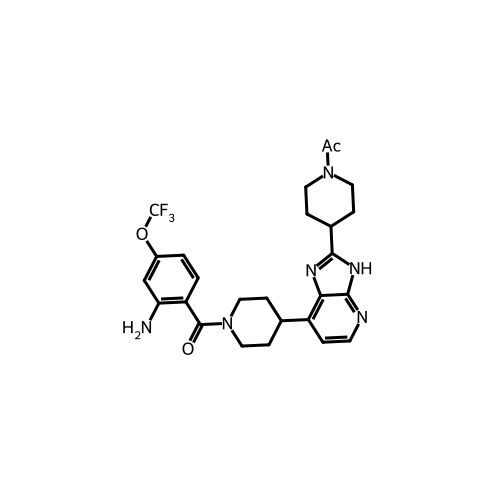 CC(=O)N1CCC(c2nc3c(C4CCN(C(=O)c5ccc(OC(F)(F)F)cc5N)CC4)ccnc3[nH]2)CC1